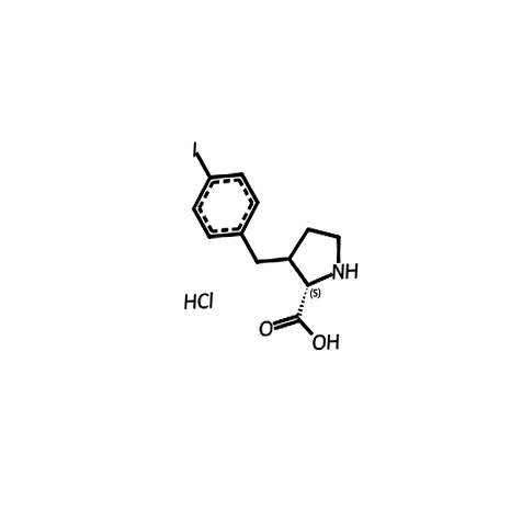 Cl.O=C(O)[C@H]1NCCC1Cc1ccc(I)cc1